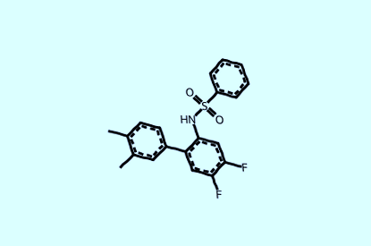 Cc1ccc(-c2cc(F)c(F)cc2NS(=O)(=O)c2ccccc2)cc1C